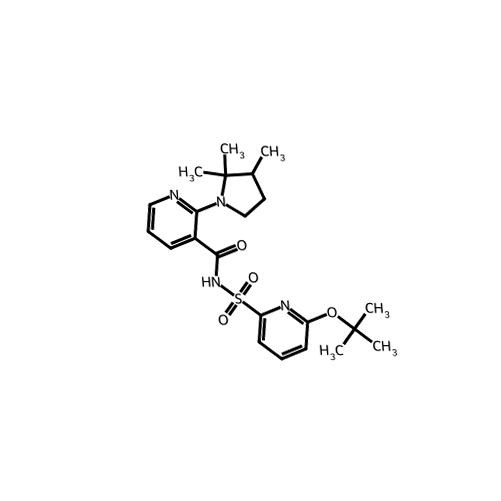 CC1CCN(c2ncccc2C(=O)NS(=O)(=O)c2cccc(OC(C)(C)C)n2)C1(C)C